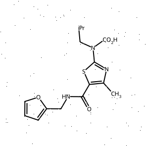 Cc1nc(N(CC(C)C)C(=O)O)sc1C(=O)NCc1ccco1